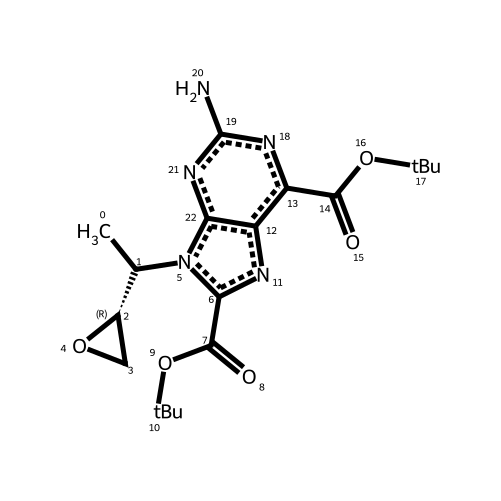 CC([C@@H]1CO1)n1c(C(=O)OC(C)(C)C)nc2c(C(=O)OC(C)(C)C)nc(N)nc21